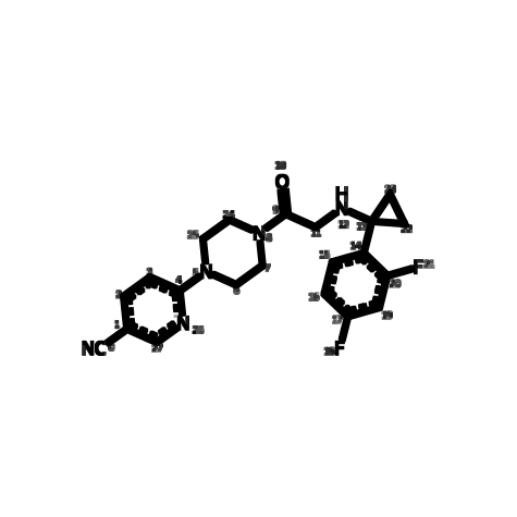 N#Cc1ccc(N2CCN(C(=O)CNC3(c4ccc(F)cc4F)CC3)CC2)nc1